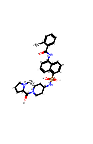 Cc1ccccc1C(=O)Nc1cccc2c(S(=O)(=O)NC3CCN(C(=O)C4CCCN4C)CC3)cccc12